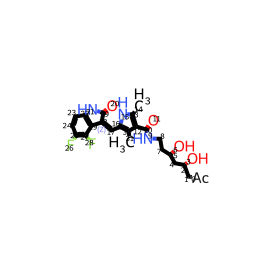 CC(=O)CC(O)CC(O)CCNC(=O)c1c(C)[nH]c(/C=C2\C(=O)Nc3ccc(F)c(F)c32)c1C